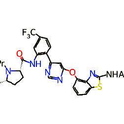 CC(=O)Nc1nc2c(Oc3cc(-c4ccc(C(F)(F)F)cc4NC(=O)[C@@H]4CC[C@H](C)N4C(C)C)ncn3)cccc2s1